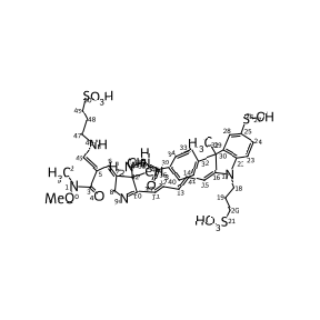 CON(C)C(=O)C(/C=C1\CN=C(/C=C/C=C/C=C2/N(CCCS(=O)(=O)O)c3ccc(SO)cc3C2(C)c2ccc(C(=O)NN)cc2)C1(C)C)=C/NCCCS(=O)(=O)O